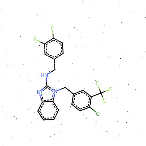 Fc1ccc(CNc2nc3ccccc3n2Cc2ccc(Cl)c(C(F)(F)F)c2)cc1F